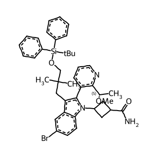 CO[C@@H](C)c1ncccc1-c1c(CC(C)(C)CO[Si](c2ccccc2)(c2ccccc2)C(C)(C)C)c2cc(Br)ccc2n1C1CC(C(N)=O)C1